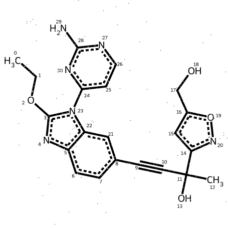 CCOc1nc2ccc(C#CC(C)(O)c3cc(CO)on3)cc2n1-c1ccnc(N)n1